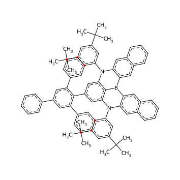 CC(C)(C)c1cc(N2c3cc4ccccc4cc3B3c4cc5ccccc5cc4N(c4cc(C(C)(C)C)cc(C(C)(C)C)c4)c4cc(-c5c(-c6ccccc6)cc(-c6ccccc6)cc5-c5ccccc5)cc2c43)cc(C(C)(C)C)c1